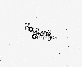 Cn1c(C(=O)O)cnc1CN1CCC(n2c(=O)n(-c3ccc(C(F)(F)F)cc3)c3cccnc32)C1